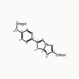 CCCCCCCCCc1cn2cc(-c3ccc(OCCCCCCC)cc3)sc2n1